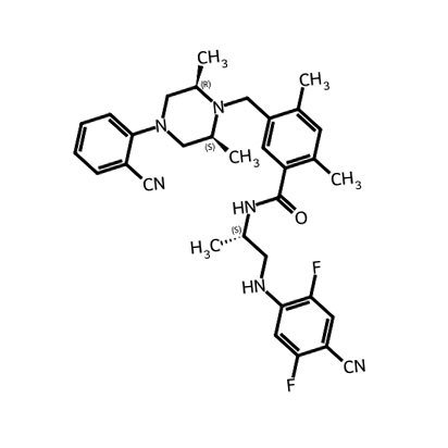 Cc1cc(C)c(C(=O)N[C@@H](C)CNc2cc(F)c(C#N)cc2F)cc1CN1[C@H](C)CN(c2ccccc2C#N)C[C@@H]1C